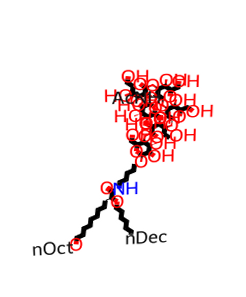 CCCCCCCCCCCCCCCCO[C@H](CCCCCCCCCOCCCCCCCC)C(=O)NCCCCCO[C@H]1OC(CO)[C@@H](O[C@@H]2OC(CO)[C@H](O[C@H]3OC(CO)[C@H](O)[C@H](O[C@@H]4OC(CO)[C@H](O)[C@H](O[C@@H]5OC(CO)[C@H](O)[C@H](O)C5O[C@@H]5OC(C)[C@@H](O)[C@H](O)C5O)C4NC(C)=O)C3O)[C@H](O)C2O)[C@H](O)C1O